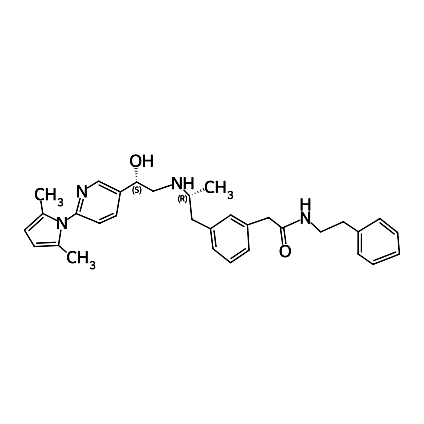 Cc1ccc(C)n1-c1ccc([C@H](O)CN[C@H](C)Cc2cccc(CC(=O)NCCc3ccccc3)c2)cn1